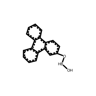 OBOc1ccc2c3ccccc3c3ccccc3c2c1